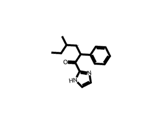 CCC(C)[CH]C(C(=O)c1ncc[nH]1)c1ccccc1